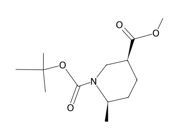 COC(=O)[C@H]1CC[C@@H](C)N(C(=O)OC(C)(C)C)C1